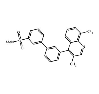 CNS(=O)(=O)c1cccc(-c2cccc(-c3c(C)cnc4c(C(F)(F)F)cccc34)c2)c1